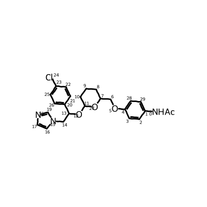 CC(=O)Nc1ccc(OCC2CCCC(OC(Cn3ccnc3)c3ccc(Cl)cc3)O2)cc1